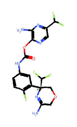 NC1=N[C@@](c2cc(NC(=O)Oc3ncc(C(F)F)nc3N)ccc2F)(C(F)F)COC1